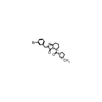 C[C@H]1CCN(C(=O)[C@@H]2CCCc3nn(Cc4cccc(Br)c4)c(=O)n32)C1